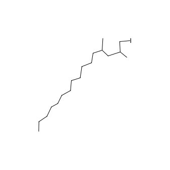 CCCCCCCCCCCCC(C)CC(C)CI